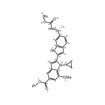 COc1cc(C(=O)OC(C)C)cc2nc(-c3cc4ccc([C@@H](C)NC(=O)OC(C)(C)C)cc4[nH]3)n(C3CC3)c12